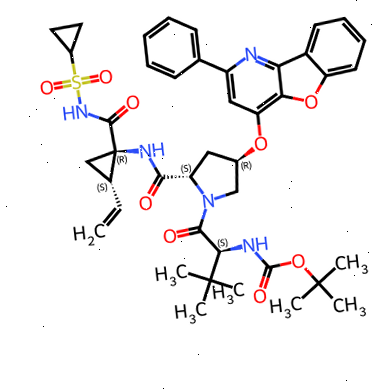 C=C[C@@H]1C[C@]1(NC(=O)[C@@H]1C[C@@H](Oc2cc(-c3ccccc3)nc3c2oc2ccccc23)CN1C(=O)[C@@H](NC(=O)OC(C)(C)C)C(C)(C)C)C(=O)NS(=O)(=O)C1CC1